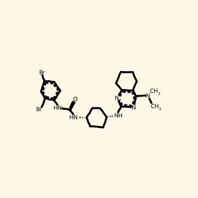 CN(C)c1nc(N[C@H]2CC[C@@H](NC(=O)Nc3ccc(Br)cc3Br)CC2)nc2c1CCCC2